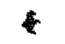 CC[C@@H]1CN(Cc2cc(C(c3ccc4c(nnn4C)c3C)C(C)(C)C(=O)O)ccc2C)Cc2c(ccc3cn[nH]c23)O1